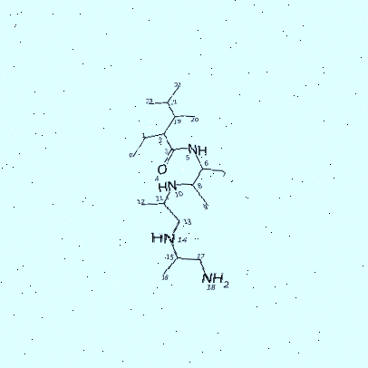 CCC(C(=O)NC(C)C(C)NC(C)CNC(C)CN)C(C)C(C)C